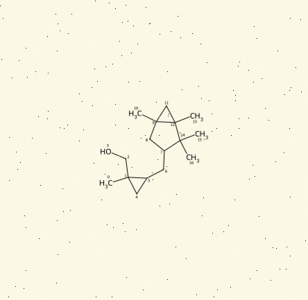 CC1(CO)CC1CC1CC2(C)CC2(C)C1(C)C